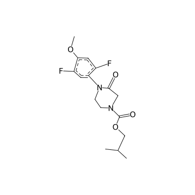 COc1cc(F)c(N2CCN(C(=O)OCC(C)C)CC2=O)cc1F